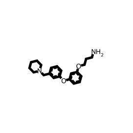 NCCCOc1cccc(Oc2cccc(CN3CCCCC3)c2)c1